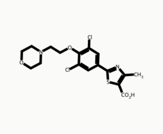 Cc1nc(-c2cc(Cl)c(OCCN3CCOCC3)c(Cl)c2)sc1C(=O)O